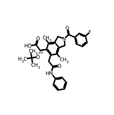 Cc1c2c(c(C)c([C@H](OC(C)(C)C)C(=O)O)c1CC(=O)Nc1ccccc1)CN(C(=O)c1cccc(F)c1)C2